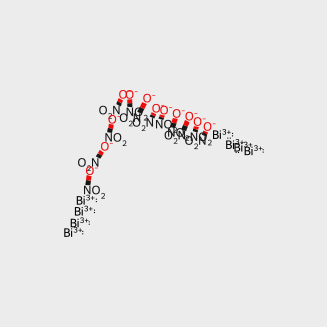 O=[N+]([O-])[O-].O=[N+]([O-])[O-].O=[N+]([O-])[O-].O=[N+]([O-])[O-].O=[N+]([O-])[O-].O=[N+]([O-])[O-].O=[N+]([O-])[O-].O=[N+]([O-])[O-].O=[N+]([O-])[O-].O=[N+]([O-])[O-].O=[N+]([O-])[O-].O=[N+]([O-])[O-].[Bi+3].[Bi+3].[Bi+3].[Bi+3].[Bi+3].[Bi+3].[Bi+3].[Bi+3]